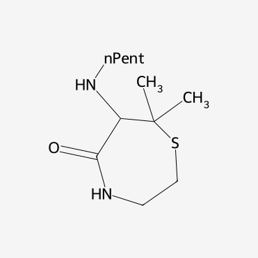 CCCCCNC1C(=O)NCCSC1(C)C